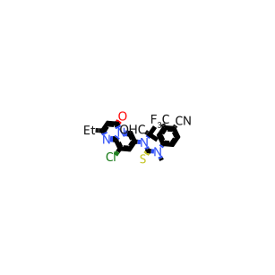 CCc1cc(=O)n2cc(N(C(=S)N(C)c3ccc(C#N)c(C(F)(F)F)c3)C(C)(C)C=O)cc(Cl)c2n1